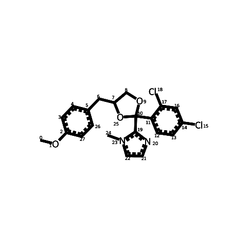 COc1ccc(CC2COC(c3ccc(Cl)cc3Cl)(c3nccn3C)O2)cc1